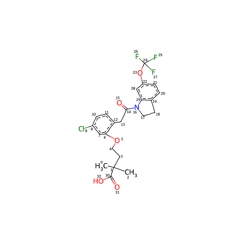 CC(C)(CCOc1cc(Cl)ccc1CC(=O)N1CCc2ccc(OC(F)(F)F)cc21)C(=O)O